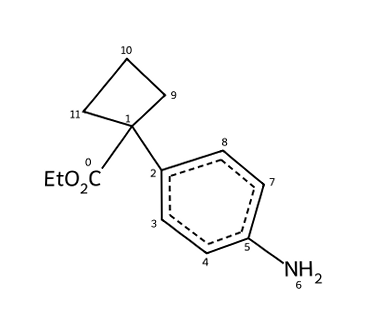 CCOC(=O)C1(c2ccc(N)cc2)CCC1